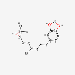 CCC(=CCCc1ccc2c(c1)OCO2)CCC1OC1(C)CC